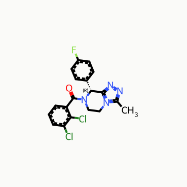 Cc1nnc2n1CCN(C(=O)c1cccc(Cl)c1Cl)[C@@H]2c1ccc(F)cc1